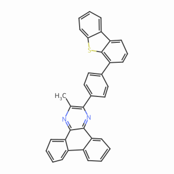 Cc1nc2c3ccccc3c3ccccc3c2nc1-c1ccc(-c2cccc3c2sc2ccccc23)cc1